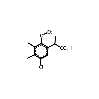 CCOc1c(C(C)C(=O)O)cc(Cl)c(C)c1C